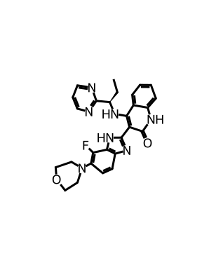 CC[C@@H](Nc1c(-c2nc3ccc(N4CCOCC4)c(F)c3[nH]2)c(=O)[nH]c2ccccc12)c1ncccn1